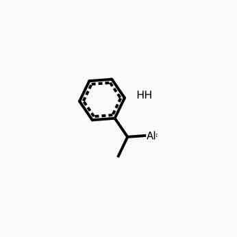 C[CH]([Al])c1ccccc1.[HH]